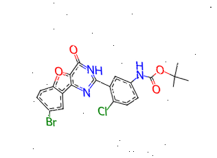 CC(C)(C)OC(=O)Nc1ccc(Cl)c(-c2nc3c(oc4ccc(Br)cc43)c(=O)[nH]2)c1